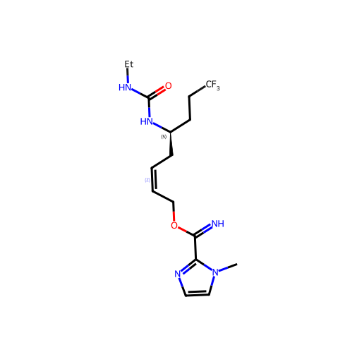 CCNC(=O)N[C@H](C/C=C\COC(=N)c1nccn1C)CCC(F)(F)F